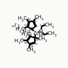 CC[SiH](CC)[Zr+2]([C]1(C)C=C(C)C(C)=C1C)[C]1(C)C=C(C)C(C)=C1C.[I-].[I-]